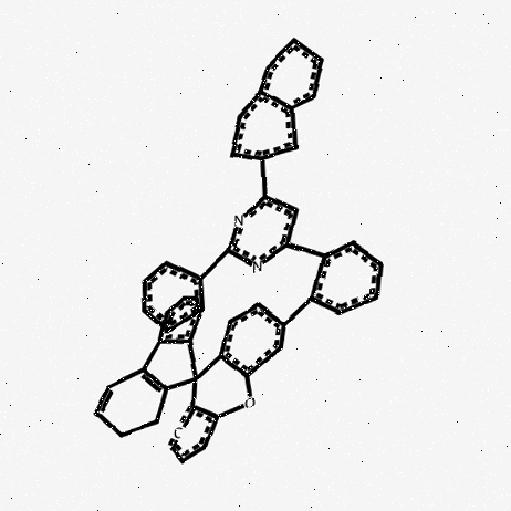 C1=CC2=C(CC1)C1(c3ccccc3Oc3cc(-c4ccccc4-c4cc(-c5ccc6ccccc6c5)nc(-c5ccccc5)n4)ccc31)c1ccccc12